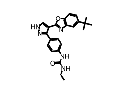 CCNC(=O)Nc1ccc(-c2n[nH]cc2-c2nc3cc(C(C)(C)C)ccc3o2)cc1